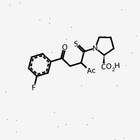 CC(=O)C(CC(=O)c1cccc(F)c1)C(=S)N1CCC[C@H]1C(=O)O